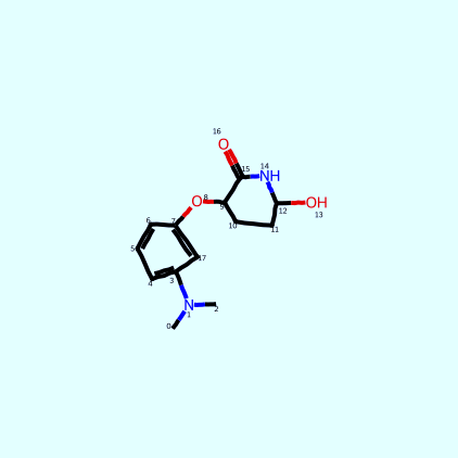 CN(C)c1cccc(OC2CCC(O)NC2=O)c1